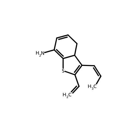 C=CC1=C(/C=C\C)C2CC=CC(N)=C2S1